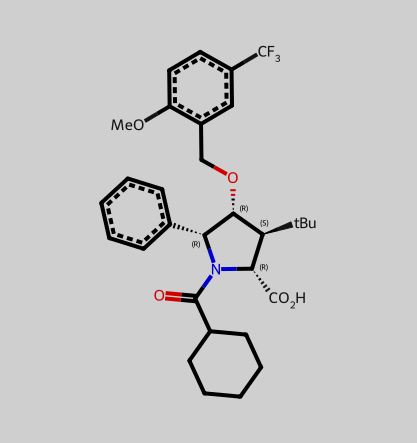 COc1ccc(C(F)(F)F)cc1CO[C@@H]1[C@@H](C(C)(C)C)[C@H](C(=O)O)N(C(=O)C2CCCCC2)[C@@H]1c1ccccc1